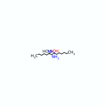 CCCCCCCCCCCCCC.N.N.O=S(=O)(O)O